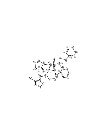 O=C(c1sccc1Br)N1CCN(c2ccccc2N(CCc2ccccc2)S(=O)(=O)c2ccc3sccc3c2)CC1